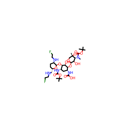 CN(C(=O)OC(C)(C)C)[C@@H]1[C@@H](O)[C@@H](O[C@@H]2[C@H](O)[C@H](O[C@H]3O[C@H](CNCCF)CC[C@H]3NCCF)[C@@H](NC(=O)OC(C)(C)C)C[C@H]2NC(=O)O)OC[C@]1(C)O